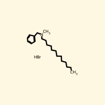 Br.CCCCCCCCCCCCCN(C)Cc1ccccc1